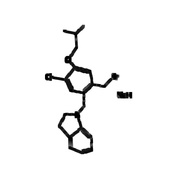 CC(C)COc1cc(CBr)c(CN2CCc3ccccc32)cc1Cl.[NaH]